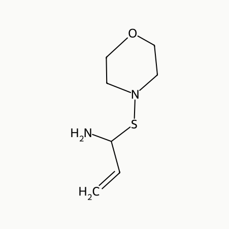 C=CC(N)SN1CCOCC1